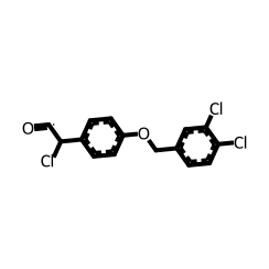 O=[C]C(Cl)c1ccc(OCc2ccc(Cl)c(Cl)c2)cc1